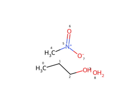 CCCO.C[N+](=O)[O-].O